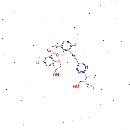 CC(CO)Nc1ncc(C#Cc2c(F)ccc(NS(=O)(=O)c3cc(Cl)cc4c3OCC4O)c2F)cn1